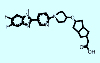 O=C(O)CC1CC2CC(OC3CCN(c4ccc(-c5nc6cc(F)c(F)cc6[nH]5)cn4)CC3)CC2C1